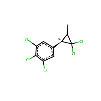 CC1[C@H](c2cc(Cl)c(Cl)c(Cl)c2)C1(Cl)Cl